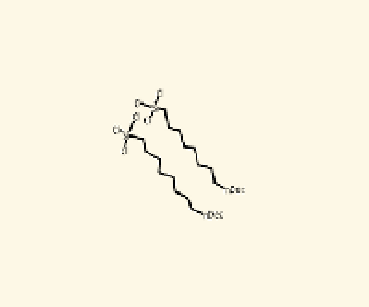 CCCCCCCCCCCCCCCCCC[Si](Cl)(Cl)Cl.CCCCCCCCCCCCCCCCCC[Si](Cl)(Cl)Cl